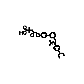 CCC(CC)c1ccc(N(Cc2cccc(-c3ccc(OCC(=O)CC(C)(C)C(=O)O)cc3)c2)C(C)C)cc1